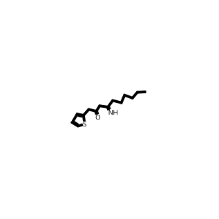 CCCCCCC(=N)CC(=O)Cc1cccs1